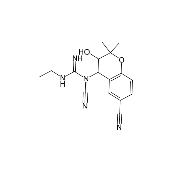 CCNC(=N)N(C#N)C1c2cc(C#N)ccc2OC(C)(C)C1O